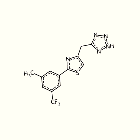 Cc1cc(-c2nc(Cc3nn[nH]n3)cs2)cc(C(F)(F)F)c1